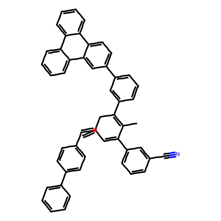 C=C/C=C(\C(C)=C(/C/C=C/c1ccc(-c2ccccc2)cc1)c1cccc(-c2ccc3c4ccccc4c4ccccc4c3c2)c1)c1cccc(C#N)c1